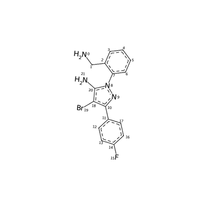 NCc1ccccc1-n1nc(-c2ccc(F)cc2)c(Br)c1N